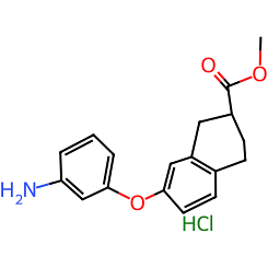 COC(=O)C1CCc2ccc(Oc3cccc(N)c3)cc2C1.Cl